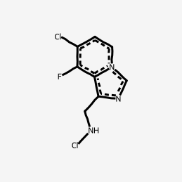 Fc1c(Cl)ccn2cnc(CNCl)c12